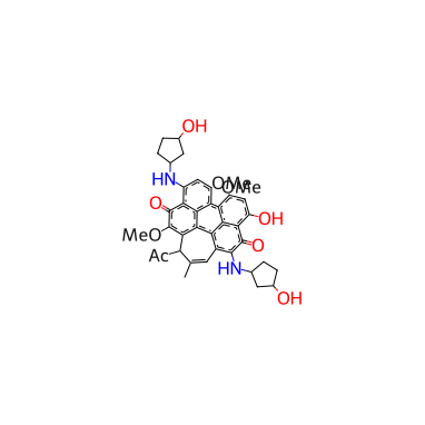 COc1c2c3c4c(c(NC5CCC(O)C5)c(=O)c5c(O)cc(OC)c(c6c(OC)cc(NC7CCC(O)C7)c(c1=O)c63)c54)C=C(C)C2C(C)=O